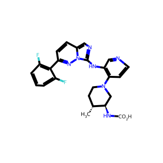 C[C@@H]1CCN(c2ccncc2Nc2ncc3ccc(-c4c(F)cccc4F)nn23)C[C@H]1NC(=O)O